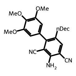 CCCCCCCCCCc1cc(C#N)c(N)c(C#N)c1-c1cc(OC)c(OC)c(OC)c1